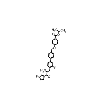 CC(C)OC(=O)N1CCC(OCc2ccc(-c3ccc(CC(N)C(=O)N4CCC(F)C4)c(F)c3)cc2)CC1